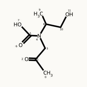 CC(=O)CN(C(=O)O)C(C)CO